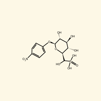 O=[N+]([O-])c1ccc(O[C@@H]2O[C@H](C(O)P(=O)(O)O)[C@@H](O)[C@H](O)[C@H]2O)cc1